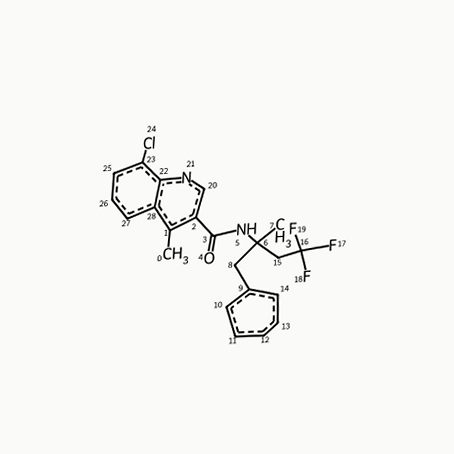 Cc1c(C(=O)NC(C)(Cc2ccccc2)CC(F)(F)F)cnc2c(Cl)cccc12